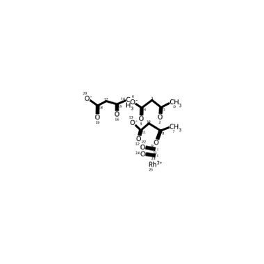 CC(=O)CC(=O)[O-].CC(=O)CC(=O)[O-].CC(=O)CC(=O)[O-].[C]=O.[C]=O.[Rh+3]